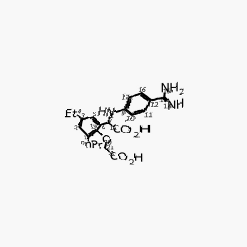 CCCc1cc(CC)cc(C(Nc2ccc(C(=N)N)cc2)C(=O)O)c1OCC(=O)O